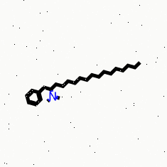 CCCCCCCCCCCCCCCC(Cc1ccccc1)N(C)C